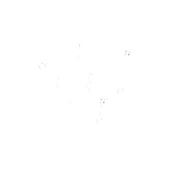 N#Cc1c([N+](=O)[O-])ccc(Cl)c1F